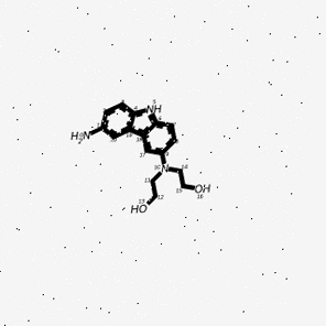 Nc1ccc2[nH]c3ccc(N(CCO)CCO)cc3c2c1